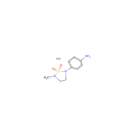 CN1CCN(c2ccc(N)cc2)S1(=O)=O.Cl